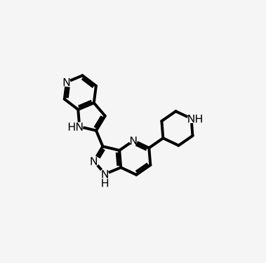 c1cc2cc(-c3n[nH]c4ccc(C5CCNCC5)nc34)[nH]c2cn1